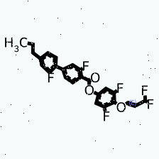 CCCc1ccc(-c2ccc(C(=O)Oc3cc(F)c(O/C=C/C(F)F)c(F)c3)c(F)c2)c(F)c1